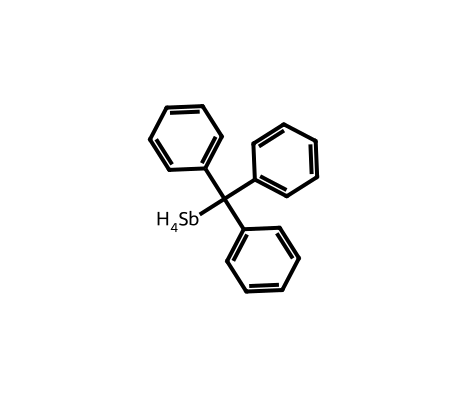 [SbH4][C](c1ccccc1)(c1ccccc1)c1ccccc1